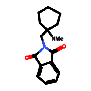 CNC1(CN2C(=O)c3ccccc3C2=O)CCCCC1